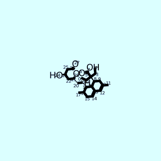 CCC(CC)(C(=O)O)[C@H]1CC(C)=CC2=CCC(C)[C@H](CC[C@@H]3C[C@@H](O)CC(=O)O3)[C@@H]21